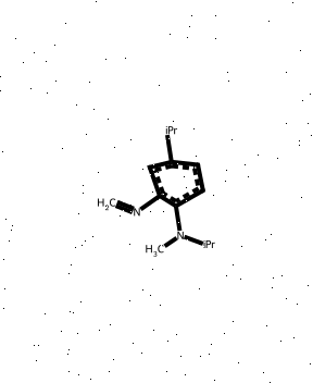 C=Nc1cc(C(C)C)ccc1N(C)C(C)C